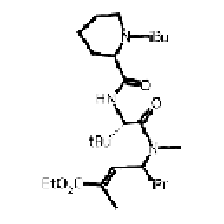 CCOC(=O)/C(C)=C/[C@H](C(C)C)N(C)C(=O)[C@@H](NC(=O)C1CCCCN1C(C)CC)C(C)(C)C